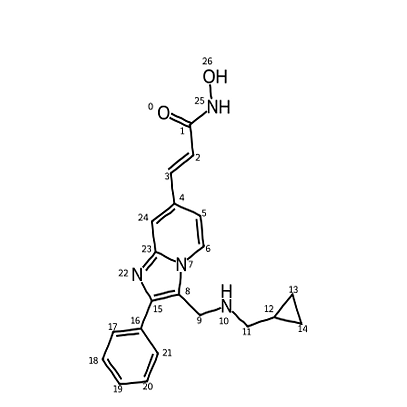 O=C(C=Cc1ccn2c(CNCC3CC3)c(-c3ccccc3)nc2c1)NO